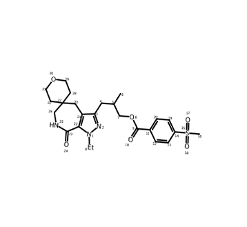 CCn1nc(CC(C)COC(=O)c2ccc(S(C)(=O)=O)cc2)c2c1C(=O)NCC1(CCOCC1)C2